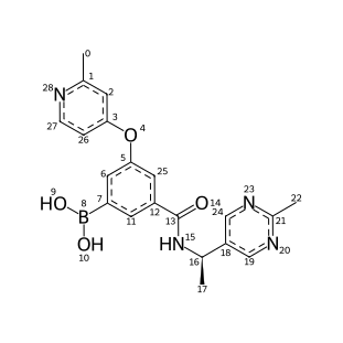 Cc1cc(Oc2cc(B(O)O)cc(C(=O)N[C@H](C)c3cnc(C)nc3)c2)ccn1